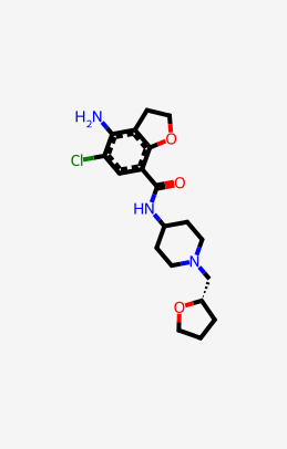 Nc1c(Cl)cc(C(=O)NC2CCN(C[C@@H]3CCCO3)CC2)c2c1CCO2